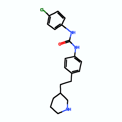 O=C(Nc1ccc(Cl)cc1)Nc1ccc(CCC2CCCNC2)cc1